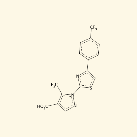 O=C(O)c1cnn(-c2nc(-c3ccc(C(F)(F)F)cc3)cs2)c1C(F)(F)F